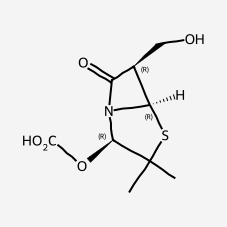 CC1(C)S[C@@H]2[C@H](CO)C(=O)N2[C@@H]1OC(=O)O